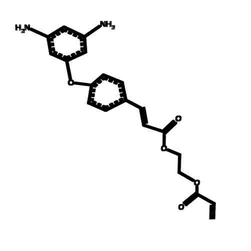 C=CC(=O)OCCOC(=O)/C=C/c1ccc(Oc2cc(N)cc(N)c2)cc1